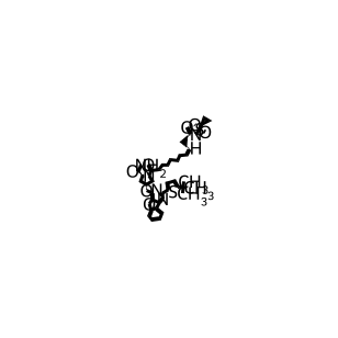 CC(C)(C)c1ccc(-c2nc(O[C@@H]3C[C@@H](C(N)=O)N(C(=O)CCCCCC/C=C\[C@@H]4C[C@@H]4C(=O)NS(=O)(=O)C4CC4)C3)c3oc4ccccc4c3n2)s1